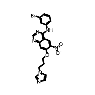 O=[N+]([O-])c1cc2c(Nc3cccc(Br)c3)ncnc2cc1OCCCn1ccnc1